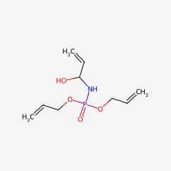 C=CCOP(=O)(NC(O)C=C)OCC=C